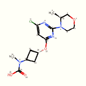 C[C@H]1COCCN1c1nc(Cl)cc(O[C@H]2C[C@H](N(C)C(=O)O)C2)n1